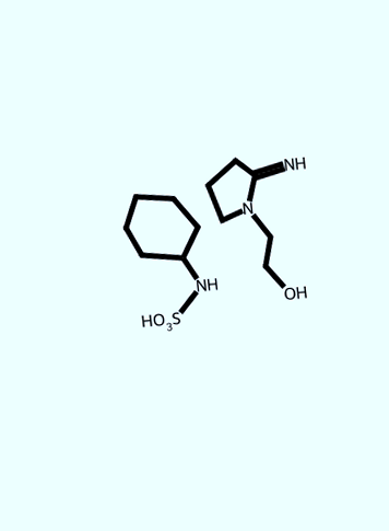 N=C1CCCN1CCO.O=S(=O)(O)NC1CCCCC1